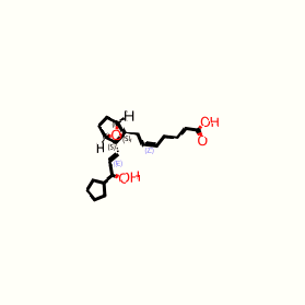 O=C(O)CCC/C=C\C[C@H]1[C@H](/C=C/C(O)C2CCCC2)[C@H]2CC[C@H]1O2